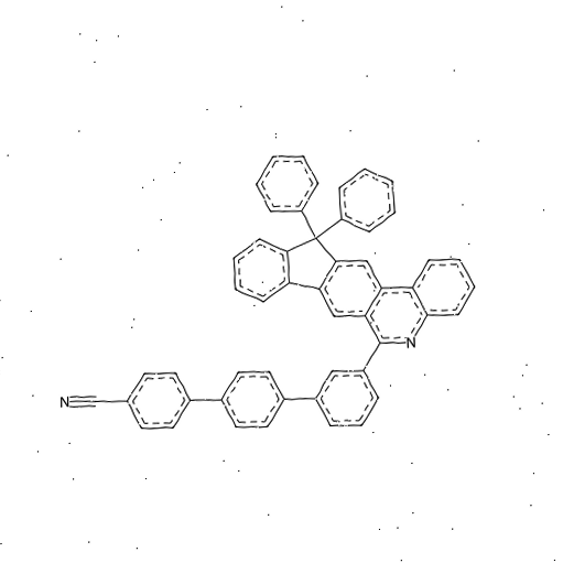 N#Cc1ccc(-c2ccc(-c3cccc(-c4nc5ccccc5c5cc6c(cc45)-c4ccccc4C6(c4ccccc4)c4ccccc4)c3)cc2)cc1